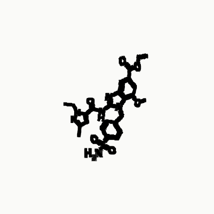 CCOC(=O)c1cc(OC)c2c(c1)nc(NC(=O)c1cc(C)nn1CC)n2Cc1ccc(S(N)(=O)=O)cc1